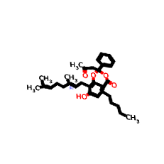 CCCCCc1cc(O)c(C/C=C(\C)CCC=C(C)C)c2c1C(=O)OC(CC(C)=O)(c1ccccc1)O2